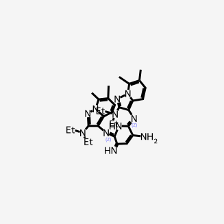 CCN(CC)c1nn2c(C)c(C)ccc2c1/N=C1\N/C(=N\c2c(N(CC)CC)nn3c(C)c(C)ccc23)C(N)=CC1=N